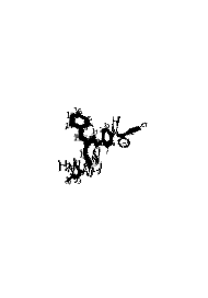 C#CC(=O)Nc1ccc(-c2cc(Cc3ccccc3)cc(Nc3cc(C)[nH]n3)n2)cc1